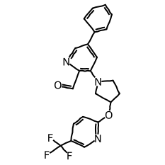 O=Cc1ncc(-c2ccccc2)cc1N1CCC(Oc2ccc(C(F)(F)F)cn2)C1